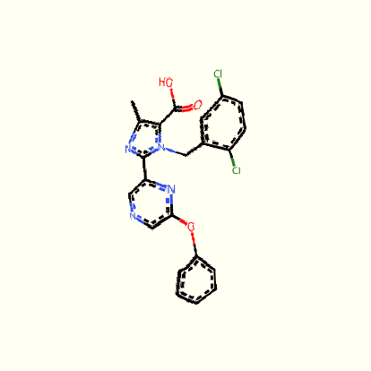 Cc1nc(-c2cncc(Oc3ccccc3)n2)n(Cc2cc(Cl)ccc2Cl)c1C(=O)O